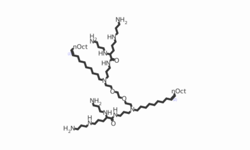 CCCCCCCC/C=C\CCCCCCCCN(CCCNC(=O)C(CCCNCCCN)NCCCN)CCOCCOCCN(CCCCCCCC/C=C\CCCCCCCC)CCCNC(=O)C(CCCNCCCN)NCCCN